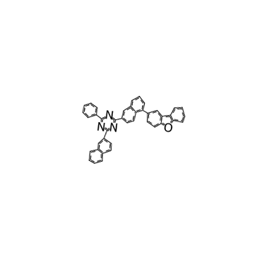 c1ccc(-c2nc(-c3ccc4ccccc4c3)nc(-c3ccc4c(-c5ccc6oc7ccccc7c6c5)cccc4c3)n2)cc1